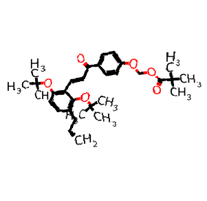 C=CCc1ccc(OC(C)(C)C)c(C=CC(=O)c2ccc(OCOC(=O)C(C)(C)C)cc2)c1OC(C)(C)C